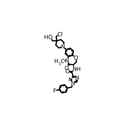 CN1C(=O)[C@H](NC(=O)c2ncn(Cc3ccc(F)cc3)n2)COc2ccc(N3CCC(CO)(CCl)CC3)cc21